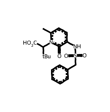 Cc1ccc(NS(=O)(=O)Cc2ccccc2)c(=O)n1C(C(=O)O)C(C)(C)C